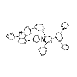 c1ccc(-c2cc(-c3ccccc3)cc(-c3cc(-c4cccc(-c5ccc6nc(-c7ccccc7)c7cccc(-c8ccccc8)c7c6c5)c4)nc(-c4ccccc4)n3)c2)cc1